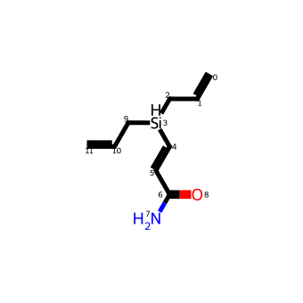 C=CC[SiH](C=CC(N)=O)CC=C